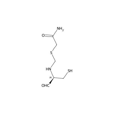 NC(=O)CSCN[C@H](C=O)CS